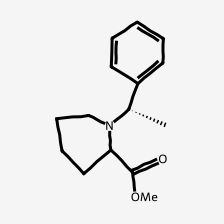 COC(=O)C1CCCCN1[C@@H](C)c1ccccc1